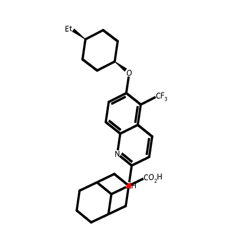 CC[C@H]1CC[C@@H](Oc2ccc3nc(NC4C5CCCC4CC(C(=O)O)C5)ccc3c2C(F)(F)F)CC1